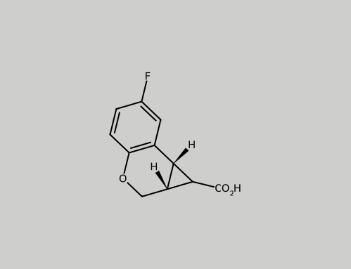 O=C(O)C1[C@H]2c3cc(F)ccc3OC[C@@H]12